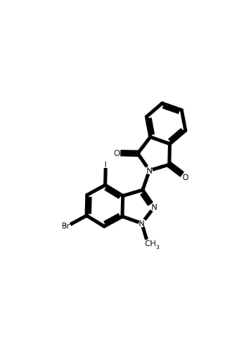 Cn1nc(N2C(=O)c3ccccc3C2=O)c2c(I)cc(Br)cc21